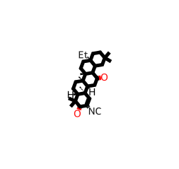 [C-]#[N+]C1=C[C@]2(C)[C@H]3CC(=O)C4C5CC(C)(C)CC[C@]5(CC)CC[C@@]4(C)[C@]3(C)CC[C@H]2C(C)(C)C1=O